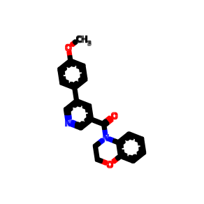 COc1ccc(-c2cncc(C(=O)N3CCOc4ccccc43)c2)cc1